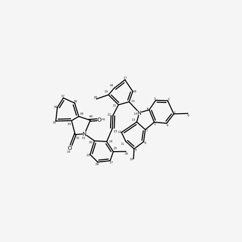 Cc1ccc2c(c1)c1cc(C)ccc1n2-c1cccc(C)c1C#Cc1c(C)cccc1N1C(=O)c2ccccc2C1=O